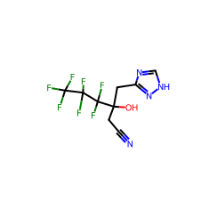 N#CCC(O)(Cc1nc[nH]n1)C(F)(F)C(F)(F)C(F)(F)F